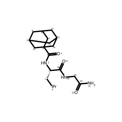 CC(C)C[C@H](NC(=O)C12CC3CC(CC(C3)C1)C2)C(=O)NCC(N)=O